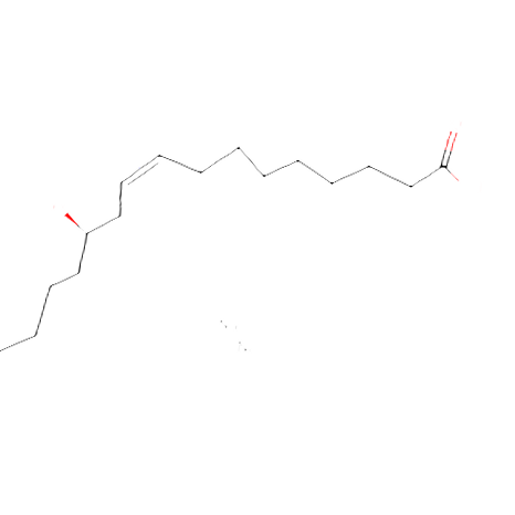 CCCCCC[C@@H](O)C/C=C\CCCCCCCC(=O)O.[Na].[Na]